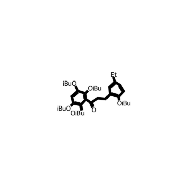 CCc1ccc(OCC(C)C)c(CCC(=O)c2c(OCC(C)C)c(OCC(C)C)cc(OCC(C)C)c2OCC(C)C)c1